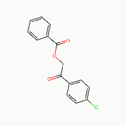 O=C(COC(=O)c1ccccc1)c1ccc(Cl)cc1